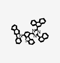 c1ccc2cc3c(cc2c1)c1ccccc1n3-c1ccc(-c2nc(-c3cccc4ccccc34)nc(-c3cc4ccccc4c4ccccc34)n2)c2c1sc1ccccc12